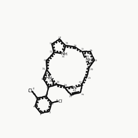 Clc1cccc(Cl)c1-c1cc2cc3ccc(cc4ccc(cc5nc(c1[nH]2)C=C5)[nH]4)[nH]3